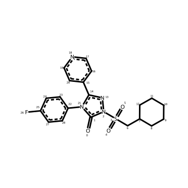 O=c1n(S(=O)(=O)CC2CCCCC2)nc(-c2ccncc2)n1-c1ccc(F)cc1